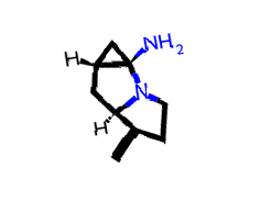 C=C1CCN2[C@@H]1C[C@@H]1C[C@@]12N